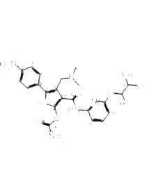 CN(C)Cc1c(-c2ccc([N+](=O)[O-])cc2)sc(OC(N)=O)c1C(=O)Nc1cccc(OC(F)C(F)F)n1